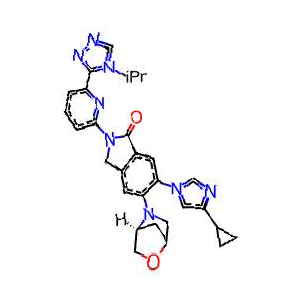 CC(C)n1cnnc1-c1cccc(N2Cc3cc(N4CC5C[C@H]4CO5)c(-n4cnc(C5CC5)c4)cc3C2=O)n1